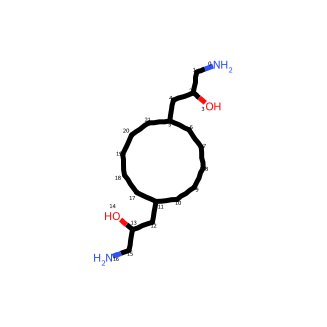 NCC(O)CC1CCCCCC(CC(O)CN)CCCCC1